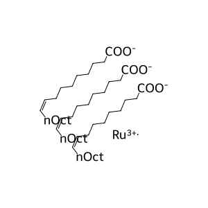 CCCCCCCC/C=C\CCCCCCCC(=O)[O-].CCCCCCCC/C=C\CCCCCCCC(=O)[O-].CCCCCCCC/C=C\CCCCCCCC(=O)[O-].[Ru+3]